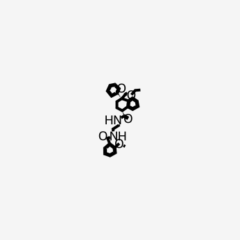 CCOC(=O)[C@]1(c2ccccc2)CC[C@@H](C(=O)NCCNC(=O)c2ccccc2OC)c2ccccc21